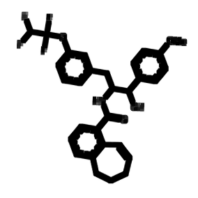 COc1ccc(C(O)C(Cc2cccc(OC(F)(F)C(F)F)c2)NC(=O)c2cccc3c2C=CCCC3)cc1